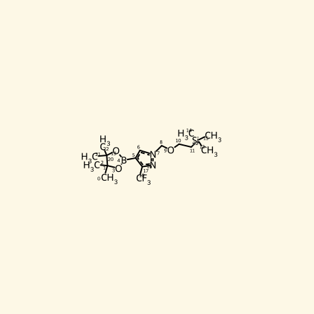 CC1(C)OB(c2cn(COCC[Si](C)(C)C)nc2C(F)(F)F)OC1(C)C